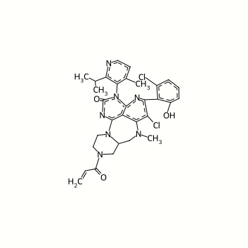 C=CC(=O)N1CCN2c3nc(=O)n(-c4c(C)ccnc4C(C)C)c4nc(-c5c(O)cccc5Cl)c(Cl)c(c34)N(C)CC2C1